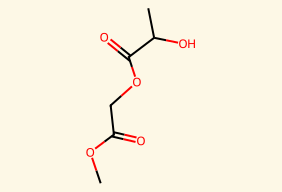 COC(=O)COC(=O)C(C)O